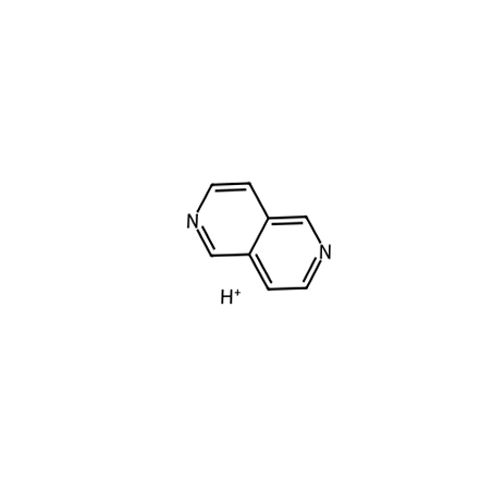 [H+].c1cc2cnccc2cn1